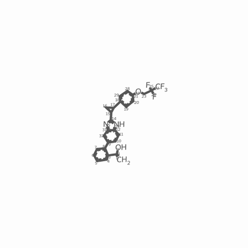 C=C(O)c1ccccc1-c1ccc2[nH]c(C3CC3c3ccc(OCC(F)(F)C(F)(F)F)cc3)nc2c1